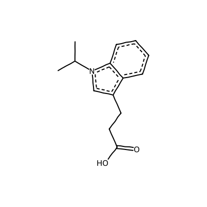 CC(C)n1cc(CCC(=O)O)c2ccccc21